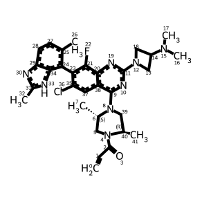 C=CC(=O)N1C[C@H](C)N(c2nc(N3CC(N(C)C)C3)nc3c(F)c(-c4c(C)ccc5nc(C)[nH]c45)c(Cl)cc23)C[C@H]1C